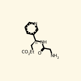 CCOC(=O)C[C@H](NC(=O)CN)c1cccnc1